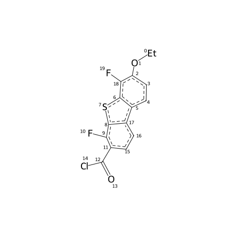 CCOc1ccc2c(sc3c(F)c(C(=O)Cl)ccc32)c1F